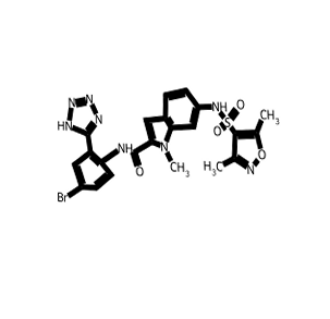 Cc1noc(C)c1S(=O)(=O)Nc1ccc2cc(C(=O)Nc3ccc(Br)cc3-c3nnn[nH]3)n(C)c2c1